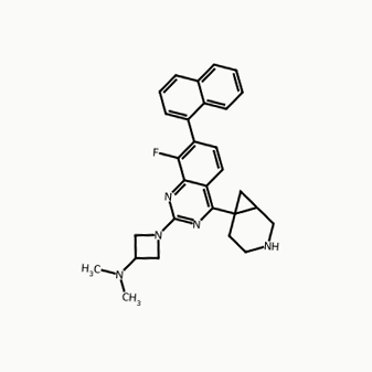 CN(C)C1CN(c2nc(C34CCNCC3C4)c3ccc(-c4cccc5ccccc45)c(F)c3n2)C1